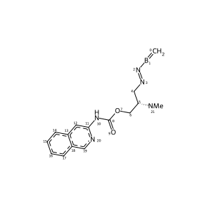 C=BN=NC[C@@H](COC(=O)Nc1cc2ccccc2cn1)NC